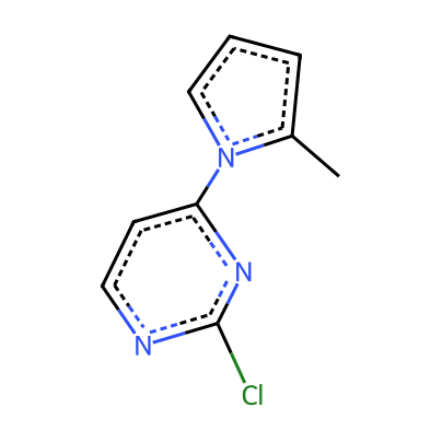 Cc1cccn1-c1ccnc(Cl)n1